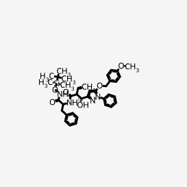 C=CC(C(=O)NC(Cc1ccccc1)C(=O)NO[Si](C)(C)C(C)(C)C)[C@H](O)c1cc(OCc2ccc(OC)cc2)n(-c2ccccc2)n1